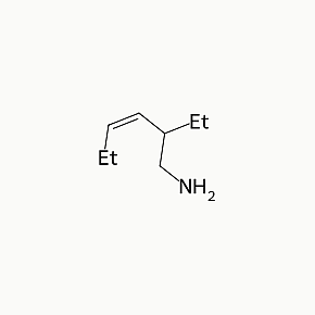 CC/C=C\C(CC)CN